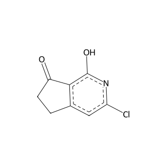 O=C1CCc2cc(Cl)nc(O)c21